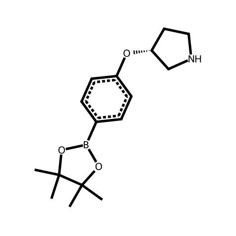 CC1(C)OB(c2ccc(O[C@@H]3CCNC3)cc2)OC1(C)C